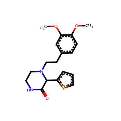 COc1ccc(CCN2CCNC(=O)C2c2cccs2)cc1OC